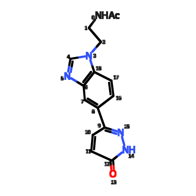 CC(=O)NCCn1cnc2cc(-c3ccc(=O)[nH]n3)ccc21